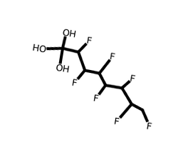 OC(O)(O)C(F)C(F)C(F)C(F)C(F)C(F)CF